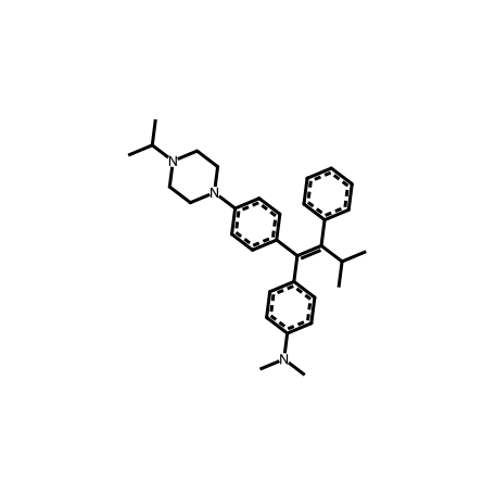 CC(C)/C(=C(\c1ccc(N(C)C)cc1)c1ccc(N2CCN(C(C)C)CC2)cc1)c1ccccc1